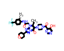 CCc1c(N2CCN(C(=O)c3ncncc3O)CC2)c(=O)n2nc(C3=CCOCC3)nc2n1CC(=O)Nc1ccc(C(F)(F)F)cc1C